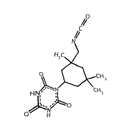 CC1(C)CC(n2c(=O)[nH]c(=O)[nH]c2=O)CC(C)(CN=C=O)C1